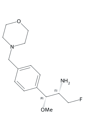 CO[C@H](c1ccc(CN2CCOCC2)cc1)[C@H](N)CF